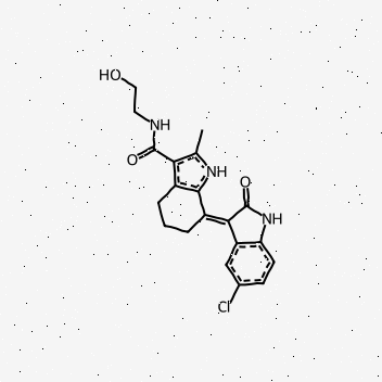 Cc1[nH]c2c(c1C(=O)NCCO)CCC/C2=C1/C(=O)Nc2ccc(Cl)cc21